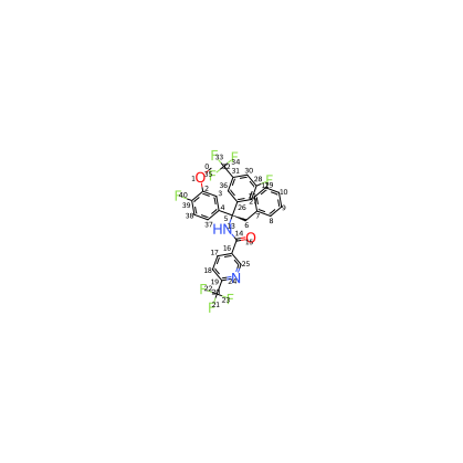 COc1cc([C@@](Cc2ccccc2)(NC(=O)c2ccc(C(F)(F)F)nc2)c2cc(F)cc(C(F)(F)F)c2)ccc1F